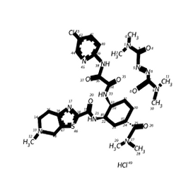 CN(C)C(=O)N=NC(=O)N(C)C.CN1CCc2nc(C(=O)N[C@@H]3C[C@@H](C(=O)N(C)C)CC[C@@H]3NC(=O)C(=O)Nc3ccc(Cl)cn3)sc2C1.Cl